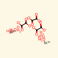 O.O.O.O.O.O.O=C([O-])C(=O)[O-].O=C([O-])C(=O)[O-].O=C([O-])C(=O)[O-].[Sc+3].[Sc+3]